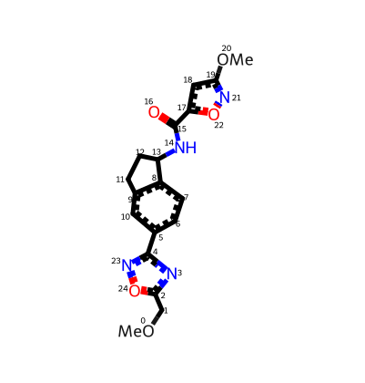 COCc1nc(-c2ccc3c(c2)CCC3NC(=O)c2cc(OC)no2)no1